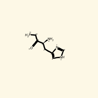 N[C@@H](Cc1c[nH]cn1)C(=O)CP